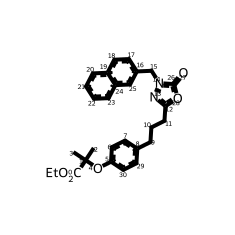 CCOC(=O)C(C)(C)Oc1ccc(CCCc2nn(Cc3ccc4ccccc4c3)c(=O)o2)cc1